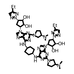 CCc1cnn([C@H]2C[C@@H](n3cnc4c(N[C@H]5CC[C@H](Nc6nc(N7CC[C@@H](N(C)C)C7)nc7c6ncn7[C@@H]6C[C@H](n7ncc(CC)n7)[C@@H](O)[C@H]6O)CC5)nc(N5CCC(N(C)C)C5)nc43)[C@H](O)[C@@H]2O)n1